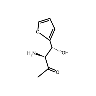 CC(=O)[C@@H](N)[C@@H](O)c1ccco1